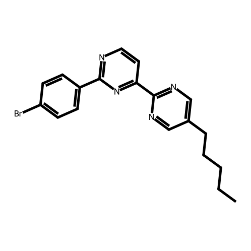 CCCCCc1cnc(-c2ccnc(-c3ccc(Br)cc3)n2)nc1